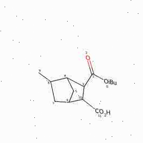 CC(C)COC(=O)C1C2CC(CC2C)C1C(=O)O